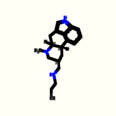 CN1C[C@H](CNCCC#N)C[C@@H]2c3cccc4[nH]cc(c34)C[C@H]21